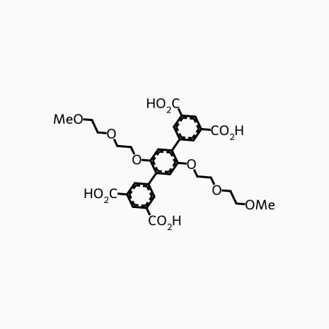 COCCOCCOc1cc(-c2cc(C(=O)O)cc(C(=O)O)c2)c(OCCOCCOC)cc1-c1cc(C(=O)O)cc(C(=O)O)c1